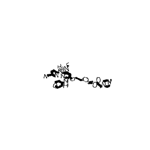 CN1CCN(CC(=O)OCCOCCOc2cc(NF)c(Nc3ccc(C#N)cn3)nc2NC2CCOCC2)CC1